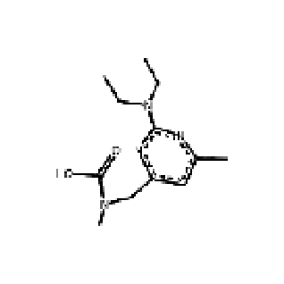 CCN(CC)c1nc(C)cc(CN(C)C(=O)O)n1